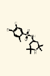 Cc1cc(Cl)c(Cl)cc1S(=O)(=O)NC1CC(C)(C)NC(C)(C)C1